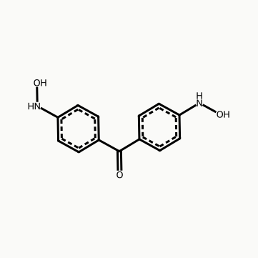 O=C(c1ccc(NO)cc1)c1ccc(NO)cc1